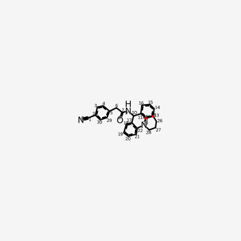 N#Cc1ccc(CC(=O)NC(c2ccccc2)c2ccccc2N2CCCCC2)cc1